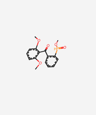 COc1cccc(OC)c1C(=O)c1ccccc1[PH](=O)OC